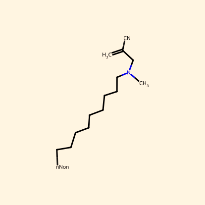 C=C(C#N)CN(C)CCCCCCCCCCCCCCCCCC